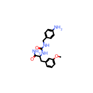 COc1cccc(CC(NC(=O)NCc2ccc(N)cc2)C(N)=O)c1